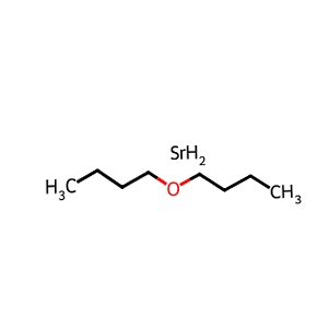 CCCCOCCCC.[SrH2]